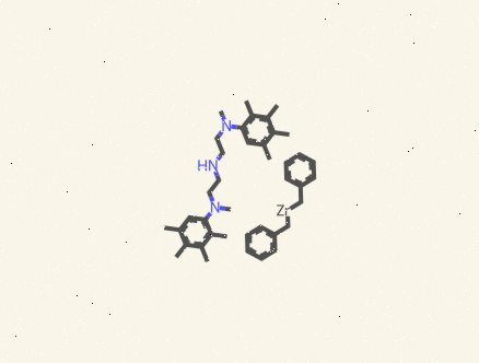 Cc1cc(N(C)CCNCCN(C)c2cc(C)c(C)c(C)c2C)c(C)c(C)c1C.c1ccc([CH2][Zr][CH2]c2ccccc2)cc1